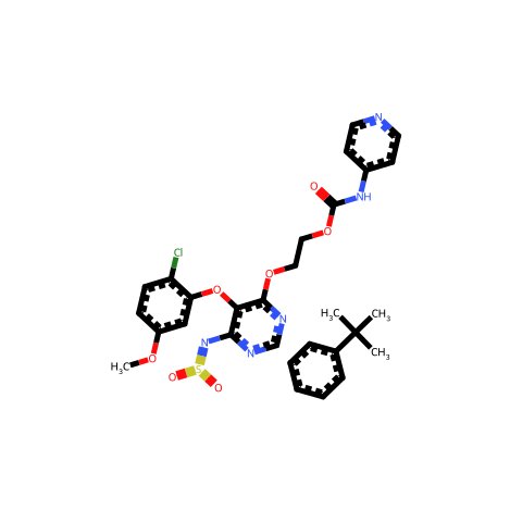 CC(C)(C)c1ccccc1.COc1ccc(Cl)c(Oc2c(N=S(=O)=O)ncnc2OCCOC(=O)Nc2ccncc2)c1